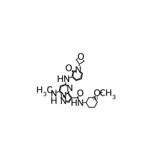 CNc1cc(Nc2cccn(C3COC3)c2=O)nc2c(C(=O)NC3CCC[C@H](OC)C3)cnn12